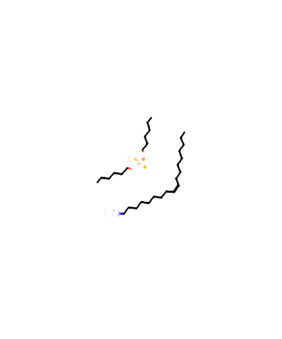 CCCCCCCC/C=C\CCCCCCCCN.CCCCCCOP(=S)(S)OCCCCCC